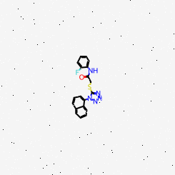 O=C(CSc1nnnn1-c1cccc2ccccc12)Nc1ccccc1F